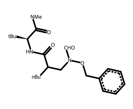 CCCCC(CN(C=O)OCc1ccccc1)C(=O)N[C@H](C(=O)NC)C(C)(C)C